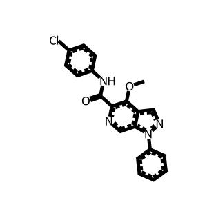 COc1c(C(=O)Nc2ccc(Cl)cc2)ncc2c1cnn2-c1ccccc1